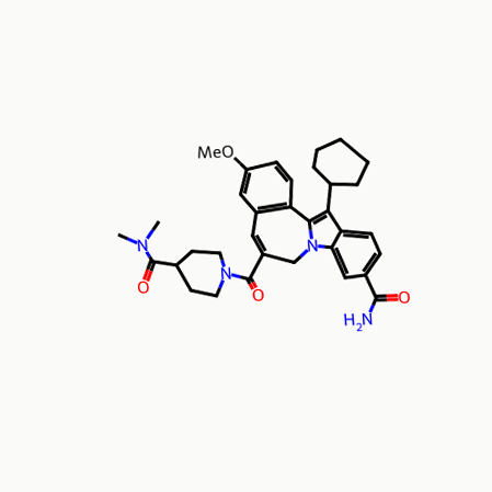 COc1ccc2c(c1)C=C(C(=O)N1CCC(C(=O)N(C)C)CC1)Cn1c-2c(C2CCCCC2)c2ccc(C(N)=O)cc21